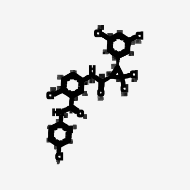 O=C(Nc1ccc(Cl)cn1)c1cc(NC(=O)[C@H]2[C@H](c3cc(Cl)cc(Cl)c3)C2(Cl)Cl)ccc1Cl